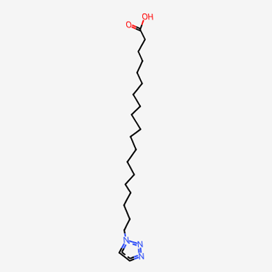 O=C(O)CCCCCCCCCCCCCCCCCCn1ccnn1